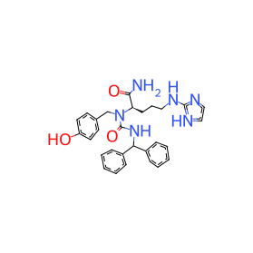 NC(=O)[C@@H](CCCNc1ncc[nH]1)N(Cc1ccc(O)cc1)C(=O)NC(c1ccccc1)c1ccccc1